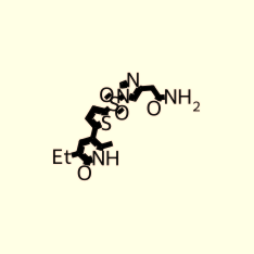 CCc1cc(-c2ccc(S(=O)(=O)n3cnc(CC(N)=O)c3)s2)c(C)[nH]c1=O